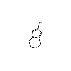 CC(C)c1cc2n(c1)CCOC2